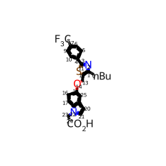 CCCCc1nc(-c2ccc(C(F)(F)F)cc2)sc1COc1ccc2c(ccn2CC(=O)O)c1